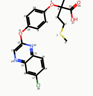 CSCCC(C)(Oc1ccc(Oc2cnc3cc(Cl)ccc3n2)cc1)C(=O)O